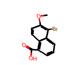 COc1ccc2c(C(=O)O)cccc2c1Br